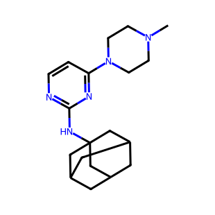 CN1CCN(c2ccnc(NC34CC5CC(CC(C5)C3)C4)n2)CC1